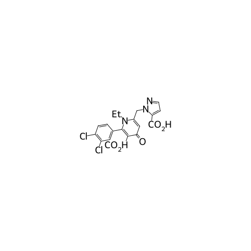 CCn1c(Cn2nccc2C(=O)O)cc(=O)c(C(=O)O)c1-c1ccc(Cl)c(Cl)c1